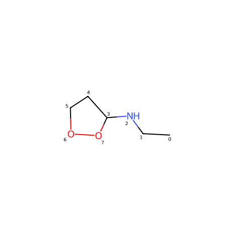 CCNC1CCOO1